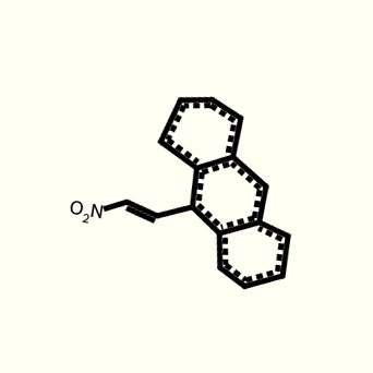 O=[N+]([O-])C=Cc1c2ccccc2cc2ccccc12